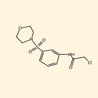 O=C(CCl)Nc1cccc(S(=O)(=O)N2CCOCC2)c1